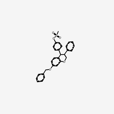 CS(=O)(=O)Oc1ccc(C2c3ccc(OCc4ccccc4)cc3OCC2c2ccccc2)cc1